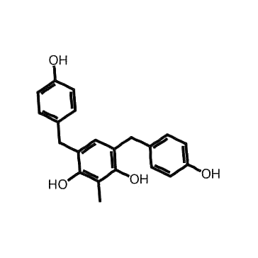 Cc1c(O)c(Cc2ccc(O)cc2)cc(Cc2ccc(O)cc2)c1O